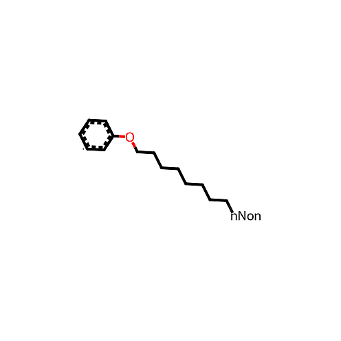 [CH2]CCCCCCCCCCCCCCCCOc1c[c]ccc1